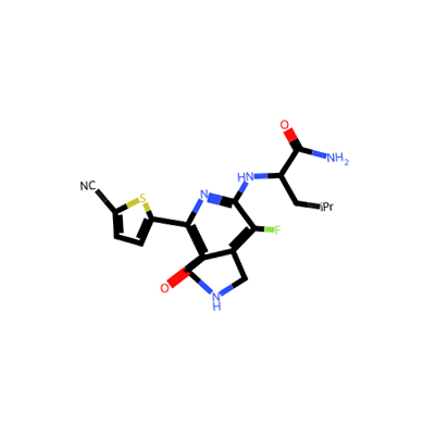 CC(C)CC(Nc1nc(-c2ccc(C#N)s2)c2c(c1F)CNC2=O)C(N)=O